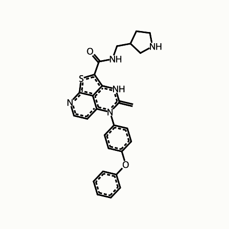 C=c1[nH]c2c(C(=O)NCC3CCNC3)sc3nccc(c32)n1-c1ccc(Oc2ccccc2)cc1